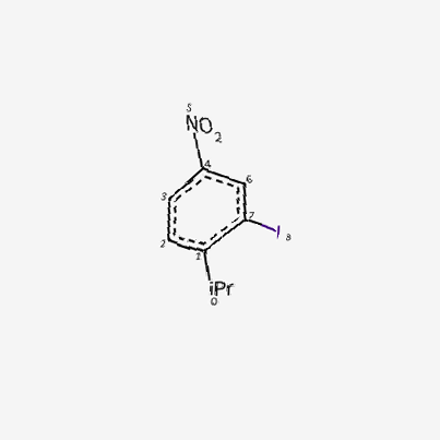 CC(C)c1ccc([N+](=O)[O-])cc1I